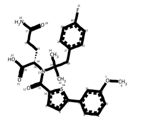 COc1cccc(-c2ccc(C(=O)N([C@@H](CCC(N)=O)C(=O)O)C(C)(C)Cc3ccc(F)cc3)s2)c1